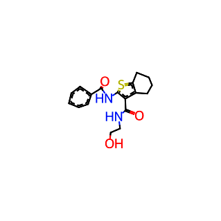 O=C(Nc1sc2c(c1C(=O)NCCO)CCCC2)c1ccccc1